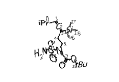 CC(C)C=C=C(CCN(C(=O)OC(C)(C)C)S(N)(=O)=O)[Si](C)(C)C